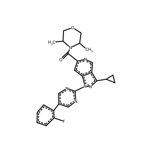 CC1COCC(C)N1C(=O)c1cc2c(cn1)c(C1CC1)nn2-c1ncc(-c2ccccc2F)cn1